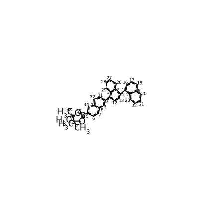 CC1(C)OB(c2ccc3cc(-c4ccc(-c5cccc6ccccc56)c5ccccc45)ccc3c2)OC1(C)C